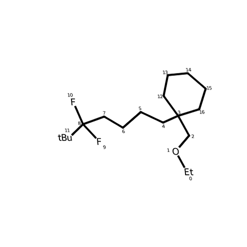 CCOCC1(CCCCC(F)(F)C(C)(C)C)CCCCC1